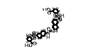 O=C(Nc1ccc2cc(S(=O)(=O)Nc3cccc(C(=O)O)c3)ccc2c1)Nc1ccc2cc(S(=O)(=O)Nc3cccc(C(=O)O)c3)ccc2c1